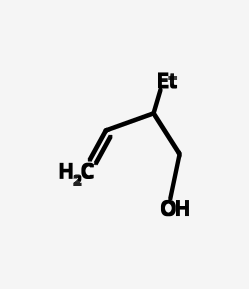 C=CC(CC)CO